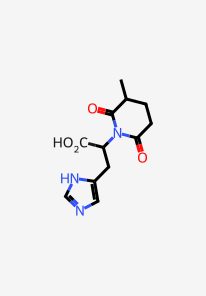 CC1CCC(=O)N(C(Cc2cnc[nH]2)C(=O)O)C1=O